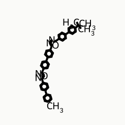 Cc1ccc(-c2ccc(-c3nnc(-c4ccc(-c5ccc(-c6nnc(-c7ccc(-c8ccc(C(C)(C)C)cc8)cc7)o6)cc5)cc4)o3)cc2)cc1